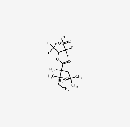 CCC(C)(C)C(C)(CC(C)(C)C)C(=O)OC(C(F)(F)F)C(F)(F)S(=O)(=O)O